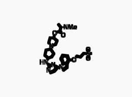 CN[C@@H](C)C(=O)OC1CCN(C2CCC(Nc3nccc(-n4ccc5c(OCCCS(C)(=O)=O)cccc54)n3)CC2)CC1